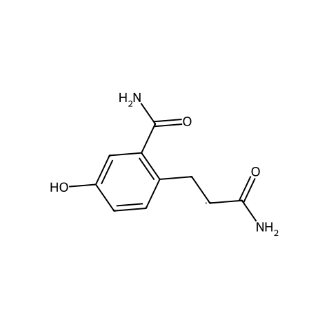 NC(=O)[CH]Cc1ccc(O)cc1C(N)=O